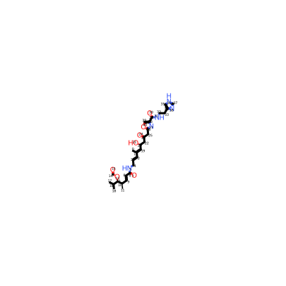 CC(/C=C/CNC(=O)/C=C/[C@@H](C)[C@H](OC=O)C(C)C)=C\[C@@H](O)CC(=O)Cc1nc(C(=O)NCCc2c[nH]cn2)co1